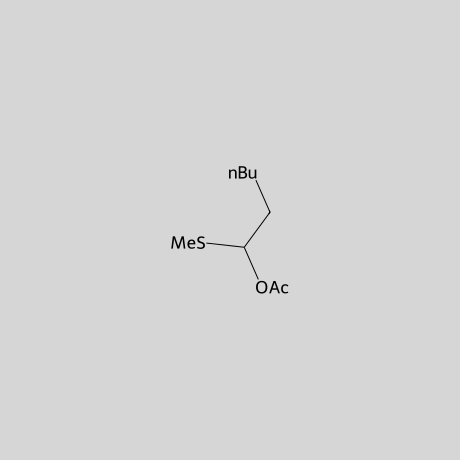 CCCCCC(OC(C)=O)SC